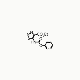 CCOC(=O)c1nnsc1NC(=O)Oc1ccccc1